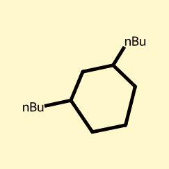 C[CH]CCC1CCCC(CCCC)C1